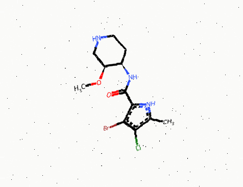 CO[C@H]1CNCC[C@H]1NC(=O)c1[nH]c(C)c(Cl)c1Br